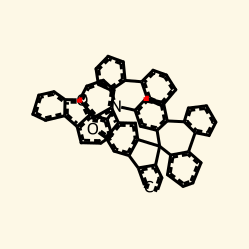 c1ccc(-c2ccccc2N(c2ccc3c(c2)C2(c4ccccc4-c4ccccc4-3)c3ccccc3-c3cc4oc5ccccc5c4cc32)c2cccc3c2oc2ccccc23)cc1